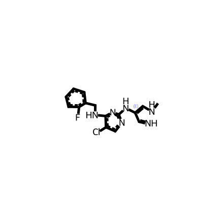 CN/C=C(\C=N)Nc1ncc(Cl)c(NCc2ccccc2F)n1